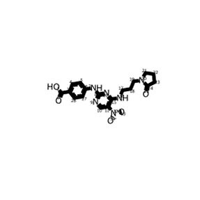 O=C(O)c1ccc(Nc2ncc([N+](=O)[O-])c(NCCCN3CCCC3=O)n2)cc1